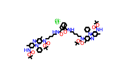 Cc1cc2nc3cc(C)c(N(CCCCCCNC(=O)C45CC6CC(C4)CC(C(=O)NCCCCCCN(C(=O)OC(C)(C)C)c4cc7c(cc4C)nc4cc(C)c(NC(=O)OC(C)(C)C)cc4[n+]7-c4ccccc4)(C6)C5)C(=O)OC(C)(C)C)cc3[n+](-c3ccccc3)c2cc1NC(=O)OC(C)(C)C.[Cl-].[Cl-]